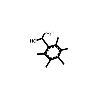 Cc1c(C)c(C)c(C(O)C(=O)O)c(C)c1C